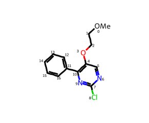 COCCOc1cnc(Cl)nc1-c1ccccc1